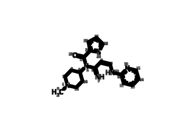 CN1CCC(N(C(=N)/C=C\Nc2ccccn2)C(=O)c2cccs2)CC1